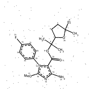 CCC1(C)CCC(C(C)(C)OC(=O)c2c(N)nc(OC)n2-c2ccc(F)cc2)O1